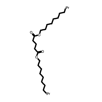 CC(C)CCCCCCCCOC(=O)CCCC(=O)OCCCCCCCCC(C)C